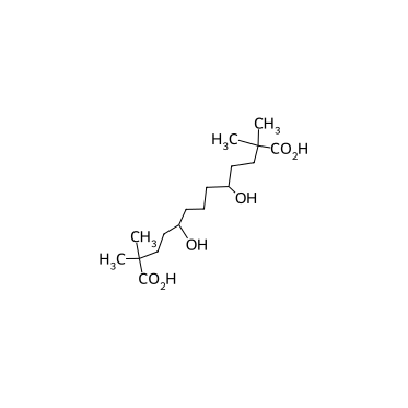 CC(C)(CCC(O)CCCC(O)CCC(C)(C)C(=O)O)C(=O)O